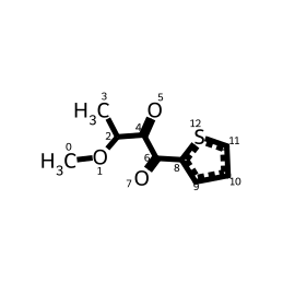 COC(C)C(=O)C(=O)c1cccs1